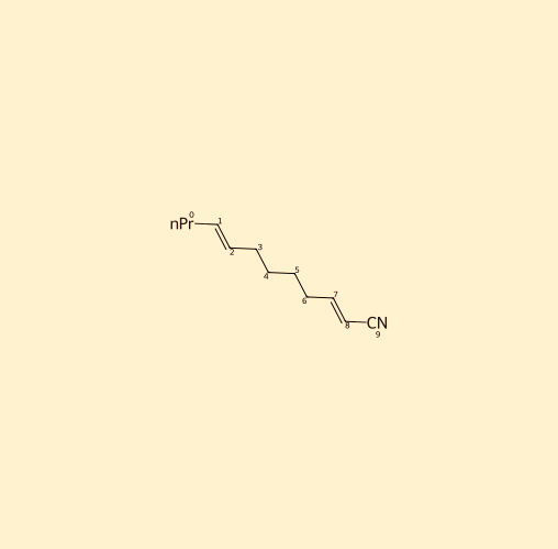 CCCC=CCCCCC=CC#N